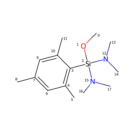 CO[Si](c1c(C)cc(C)cc1C)(N(C)C)N(C)C